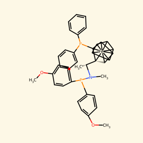 COc1ccc(P(c2ccc(OC)cc2)N(C)[C@H](C)[C@@]23[CH]4[CH]5[CH]6[C]2(P(c2ccccc2)c2ccccc2)[Fe]56432789[CH]3[CH]2[CH]7[CH]8[CH]39)cc1